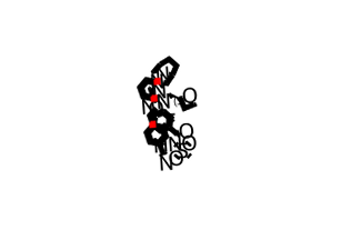 CS(=O)(=O)NC(=O)c1ccc2nc(CN3CC4CCC(C3)N4c3cccc(OCc4ccc(C#N)cc4F)n3)n(C[C@@H]3CCO3)c2c1